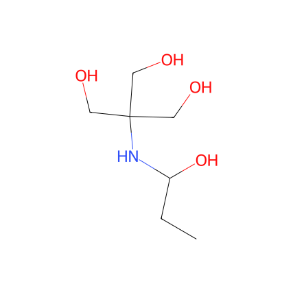 CCC(O)NC(CO)(CO)CO